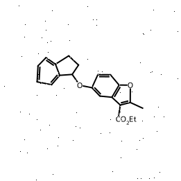 CCOC(=O)c1c(C)oc2ccc(OC3CCc4ccccc43)cc12